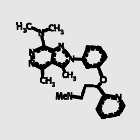 CNCCC(Oc1cccc(-n2nc3c(N(C)C)nnc(C)c3c2C)c1)c1ccccn1